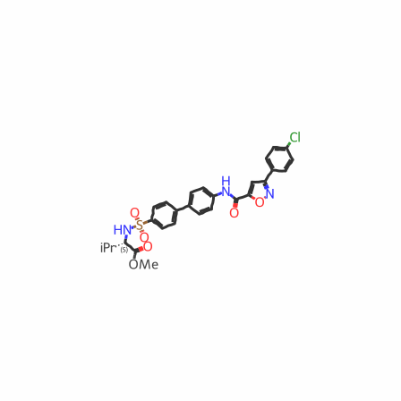 COC(=O)[C@@H](NS(=O)(=O)c1ccc(-c2ccc(NC(=O)c3cc(-c4ccc(Cl)cc4)no3)cc2)cc1)C(C)C